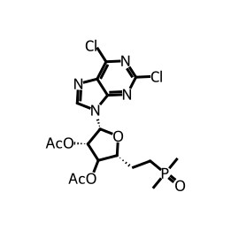 CC(=O)OC1[C@@H](CCP(C)(C)=O)O[C@@H](n2cnc3c(Cl)nc(Cl)nc32)[C@H]1OC(C)=O